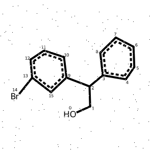 OCC(c1ccccc1)c1cccc(Br)c1